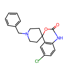 O=C1Nc2ccc(Cl)cc2C2(CCN(Cc3ccccc3)CC2)O1